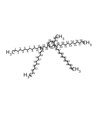 CCCCCCCCCCCCN(CCCCCCCCCCCC)CCN1CCN(CCC)C(N(CCCCCCCCCCCC)CCCCCCCCCCCC)C1